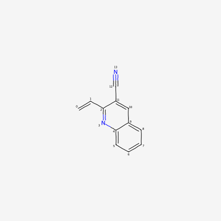 C=Cc1nc2ccccc2cc1C#N